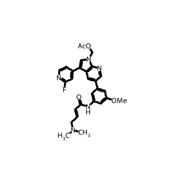 COc1cc(NC(=O)/C=C/CN(C)C)cc(-c2cnc3c(c2)c(-c2ccnc(F)c2)cn3COC(C)=O)c1